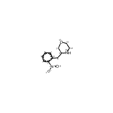 O=[N+]([O-])c1ccccc1CC1COCCN1